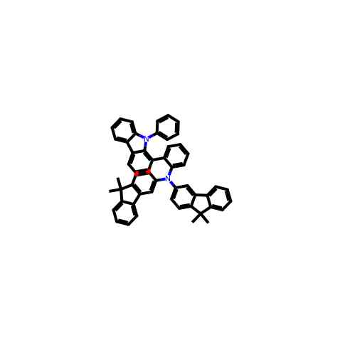 CC1(C)C2=C(C=C(N(c3ccc4c(c3)-c3ccccc3C4(C)C)c3ccccc3-c3c#ccc4c5ccccc5n(-c5ccccc5)c34)CC2)c2ccccc21